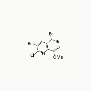 COC(=O)c1nc(Cl)c(Br)cc1C(Br)Br